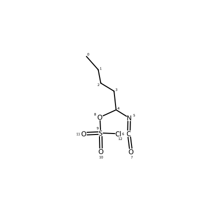 CCCCC(N=C=O)OS(=O)(=O)Cl